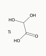 O=C(O)C(O)O.[Ti]